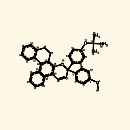 COc1ccc(C2(c3ccc(OC(N)(N)N)cc3)C=Cc3c(c4c(c5ccccc35)-c3ccccc3CC4)O2)cc1